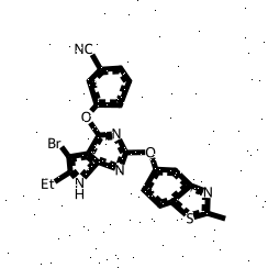 CCc1[nH]c2nc(Oc3ccc4sc(C)nc4c3)nc(Oc3cccc(C#N)c3)c2c1Br